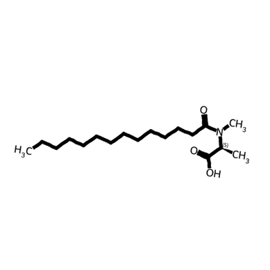 CCCCCCCCCCCCCC(=O)N(C)[C@@H](C)C(=O)O